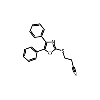 N#CCCSc1nc(-c2ccccc2)c(-c2ccccc2)o1